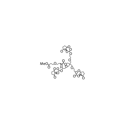 COC(=O)CCOCCNC(=O)OCC(COCCOC(=O)ON1C(=O)CCC1=O)(COCCOC(=O)ON1C(=O)CCC1=O)COCCOC(=O)ON1C(=O)CCC1=O